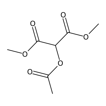 COC(=O)C(OC(C)=O)C(=O)OC